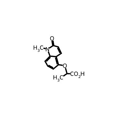 CC(Oc1cccc2c1ccc(=O)n2C)C(=O)O